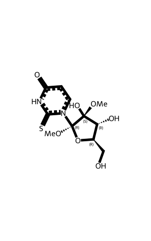 CO[C@@]1(n2ccc(=O)[nH]c2=S)O[C@H](CO)[C@@H](O)[C@]1(O)OC